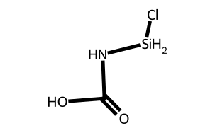 O=C(O)N[SiH2]Cl